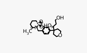 C[C@H]1CCCS(=O)(=O)N1Cc1ccc(C2([C@H](O)CCO)CCOCC2)cc1F